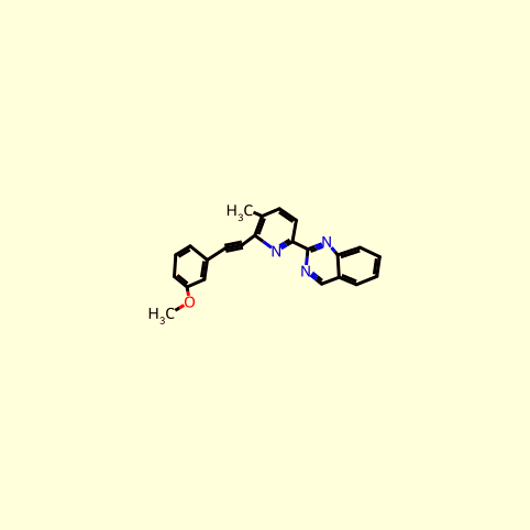 COc1cccc(C#Cc2nc(-c3ncc4ccccc4n3)ccc2C)c1